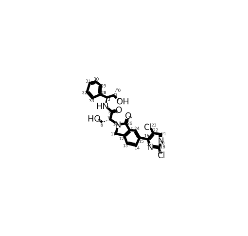 C[C@H](O)[C@@H](NC(=O)[C@@H](CO)N1Cc2ccc(-c3nc(Cl)ncc3Cl)cc2C1=O)c1ccccc1